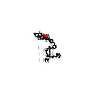 C[C@H](NC(=O)[C@H](C)NC(=O)[C@H](Cc1c[nH]cn1)NC(=O)CCN1C(=O)C=CC1=O)C(=O)Nc1cccc(Cc2ccc([C@@H]3O[C@@H]4C[C@H]5[C@@H]6C[C@H](F)C7=CC(=O)C=C[C@]7(C)[C@@]6(F)[C@@H](O)C[C@]5(C)[C@]4(C(=O)CO)O3)cc2)c1